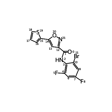 O=C(Nc1c(F)cc(F)cc1Br)c1cc(-c2cccs2)on1